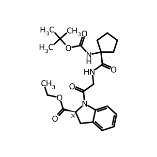 CCOC(=O)[C@@H]1Cc2ccccc2N1C(=O)CNC(=O)C1(NC(=O)OC(C)(C)C)CCCC1